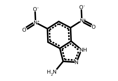 Nc1n[nH]c2c([N+](=O)[O-])cc([N+](=O)[O-])cc12